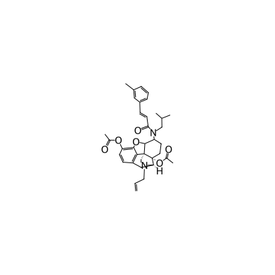 C=CCN1CC[C@]23c4c5ccc(OC(C)=O)c4OC2C(N(CC(C)C)C(=O)/C=C/c2cccc(C)c2)CC[C@@]3(OC(C)=O)[C@H]1C5